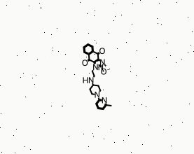 Cc1cccc(N2CCC(NCCn3c4c(n[n+]3[O-])C(=O)c3ccccc3C4=O)CC2)n1